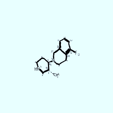 O[C@@H]1CNCC[C@H]1N1CCc2c(F)cccc2C1